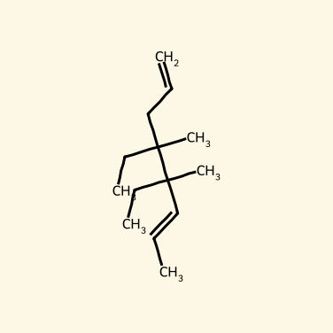 C=CCC(C)(CC)C(C)(C=CC)CC